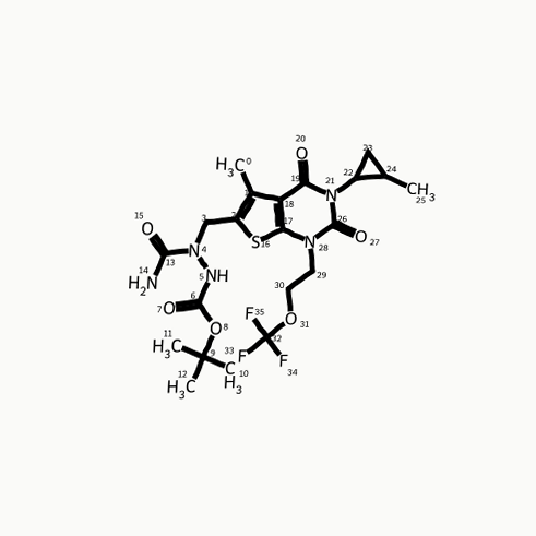 Cc1c(CN(NC(=O)OC(C)(C)C)C(N)=O)sc2c1c(=O)n(C1CC1C)c(=O)n2CCOC(F)(F)F